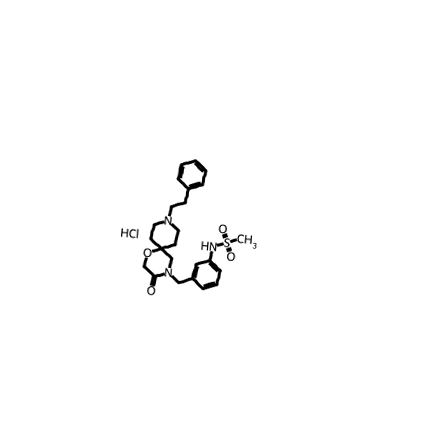 CS(=O)(=O)Nc1cccc(CN2CC3(CCN(CCc4ccccc4)CC3)OCC2=O)c1.Cl